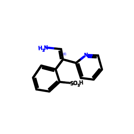 N/C=C(/c1ccccn1)c1ccccc1S(=O)(=O)O